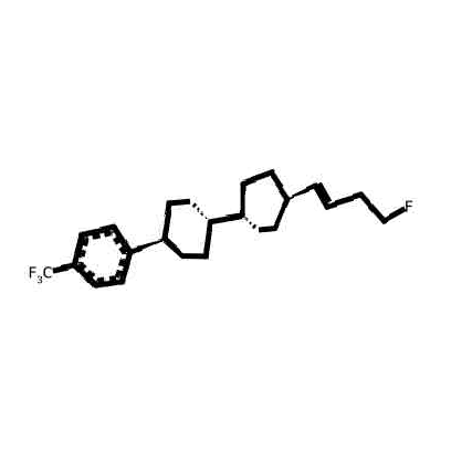 FCCC=C[C@H]1CC[C@H]([C@H]2CC[C@H](c3ccc(C(F)(F)F)cc3)CC2)CC1